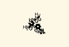 CNC(=O)c1cnc(NC(=O)NC(C)=O)cc1Nc1cccc(-c2ncn(C)n2)c1OC